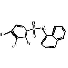 O=S(=O)(Nc1cccc2ccccc12)c1ccc(Br)c(Br)c1Br